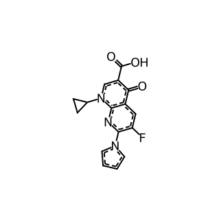 O=C(O)c1cn(C2CC2)c2nc(-n3cccc3)c(F)cc2c1=O